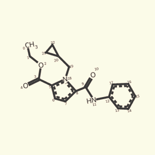 CCOC(=O)c1ccc(C(=O)Nc2ccccc2)n1CC1CC1